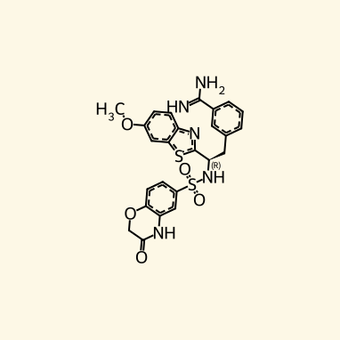 COc1ccc2nc([C@@H](Cc3cccc(C(=N)N)c3)NS(=O)(=O)c3ccc4c(c3)NC(=O)CO4)sc2c1